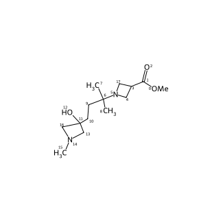 COC(=O)C1CN(C(C)(C)CCC2(O)CN(C)C2)C1